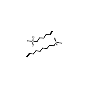 C=CCCCCCCC[SiH](Br)Br.C=CCCCC[Si](Cl)(Cl)Cl